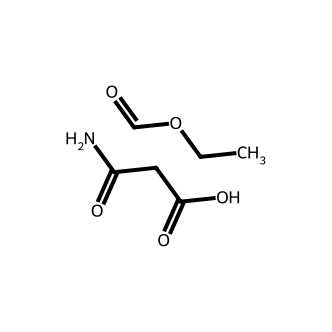 CCOC=O.NC(=O)CC(=O)O